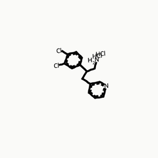 Cl.Cl.NCC(Cc1cccnc1)c1ccc(Cl)c(Cl)c1